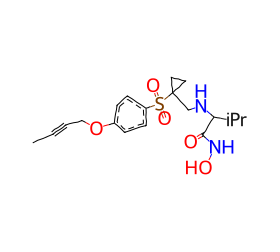 CC#CCOc1ccc(S(=O)(=O)C2(CNC(C(=O)NO)C(C)C)CC2)cc1